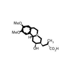 COc1cc2c(cc1OC)[C@H]1C[C@H](O)[C@H](C[C@H](C)C(=O)O)CN1CC2